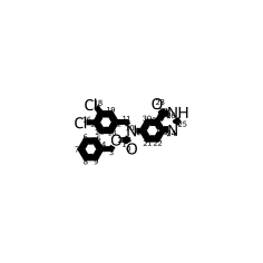 O=C(OCc1ccccc1)N(Cc1ccc(Cl)c(Cl)c1)c1ccc2nc[nH]c(=O)c2c1